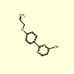 C=CCOc1ccc(-c2nccc(C#N)n2)cc1